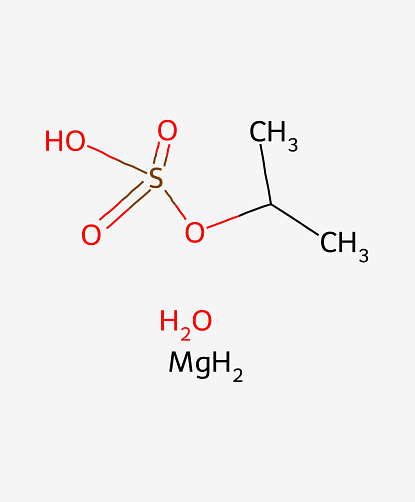 CC(C)OS(=O)(=O)O.O.[MgH2]